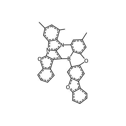 Cc1cc2c3c(c1)-n1c4c(C)cc(C)cc4n4c5oc6ccccc6c5c(c14)B3c1cc3oc4ccccc4c3cc1O2